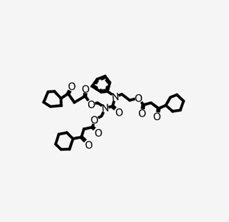 O=C(CC(=O)C1CCCCC1)OCCN(C(=O)N(COC(=O)CC(=O)C1CCCCC1)COC(=O)CC(=O)C1CCCCC1)c1ccccc1